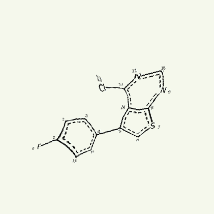 Fc1ccc(-c2csc3n[c]nc(Cl)c23)cc1